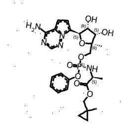 C[C@H](N[P@](=O)(OC[C@@]1(C)O[C@@H](c2ccc3c(N)ncnn23)[C@H](O)[C@@H]1O)Oc1ccccc1)C(=O)OCC1(C)CC1